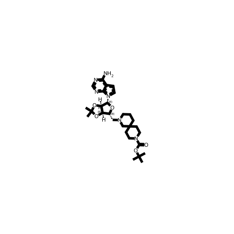 CC(C)(C)OC(=O)N1CCC2(CCCN(C[C@H]3O[C@@H](n4ccc5c(N)ncnc54)[C@@H]4OC(C)(C)O[C@@H]43)C2)CC1